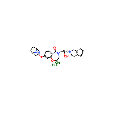 Cl.Cl.O=C1c2ccc(OC3CC4CCC(C3)N4)cc2OCCN1C[C@H](O)CN1CCc2ccccc2C1